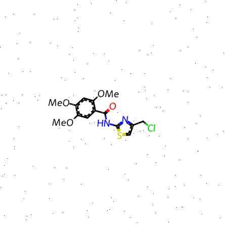 COc1cc(OC)c(C(=O)Nc2nc(CCl)cs2)cc1OC